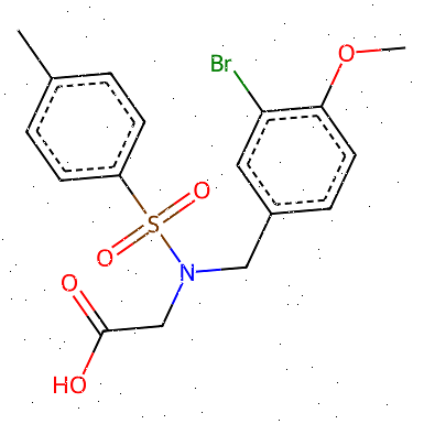 COc1ccc(CN(CC(=O)O)S(=O)(=O)c2ccc(C)cc2)cc1Br